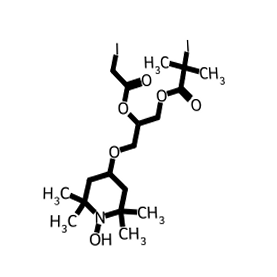 CC(C)(I)C(=O)OCC(COC1CC(C)(C)N(O)C(C)(C)C1)OC(=O)CI